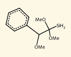 COC(c1ccccc1)C([SiH3])(OC)OC